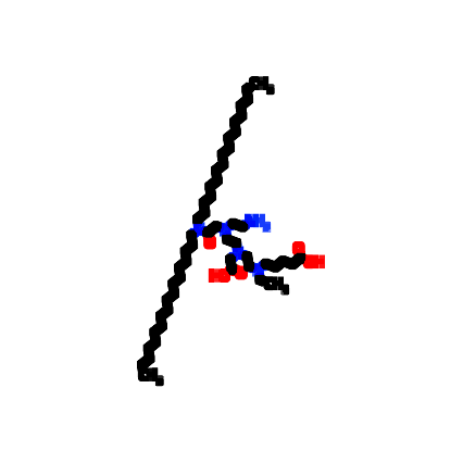 CCCCCCCCCCCCCCCCCCN(CCCCCCCCCCCCCCCCCC)C(=O)CN(CCN)CCN(CCN(CC)CCCCC(=O)O)CC(=O)O